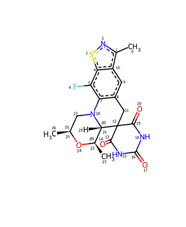 Cc1nsc2c(F)c3c(cc12)CC1(C(=O)NC(=O)NC1=O)[C@@H]1[C@@H](C)O[C@@H](C)CN31